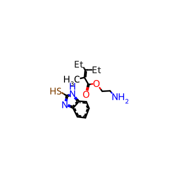 CCC(CC)=C(C)C(=O)OCCN.Sc1nc2ccccc2[nH]1